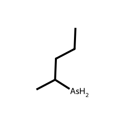 CCCC(C)[AsH2]